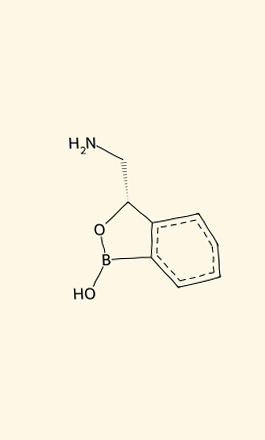 NC[C@H]1OB(O)c2ccccc21